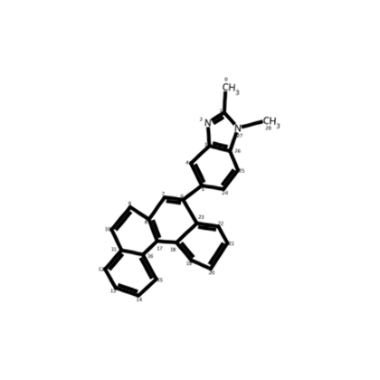 Cc1nc2cc(-c3cc4ccc5ccccc5c4c4ccccc34)ccc2n1C